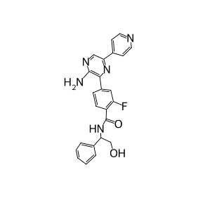 Nc1ncc(-c2ccncc2)nc1-c1ccc(C(=O)NC(CO)c2ccccc2)c(F)c1